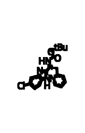 CC(C)(C)OC(=O)N[C@@H](Cc1ccccn1)c1nc2cc(Cl)ccc2[nH]1